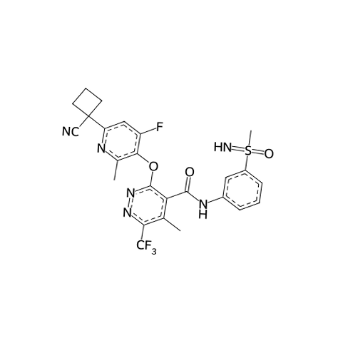 Cc1nc(C2(C#N)CCC2)cc(F)c1Oc1nnc(C(F)(F)F)c(C)c1C(=O)Nc1cccc(S(C)(=N)=O)c1